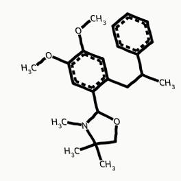 COc1cc(CC(C)c2ccccc2)c(C2OCC(C)(C)N2C)cc1OC